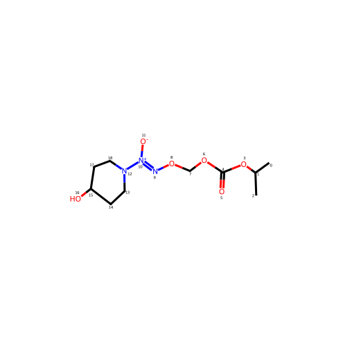 CC(C)OC(=O)OCON=[N+]([O-])N1CCC(O)CC1